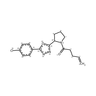 C=CCCC(=O)N1CCCC1c1nnc(-c2ccc(Cl)cc2)o1